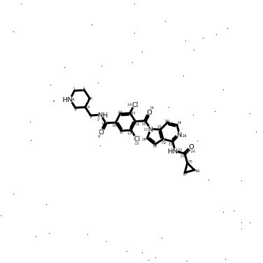 O=C(NCC1CCCNC1)c1cc(Cl)c(C(=O)n2ccc3c(NC(=O)C4CC4)nccc32)c(Cl)c1